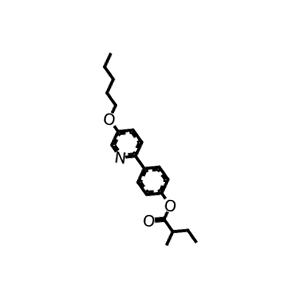 CCCCCOc1ccc(-c2ccc(OC(=O)C(C)CC)cc2)nc1